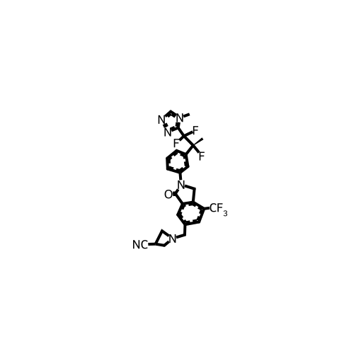 Cn1cnnc1C(F)(F)[C@](C)(F)c1cccc(N2Cc3c(cc(CN4CC(C#N)C4)cc3C(F)(F)F)C2=O)c1